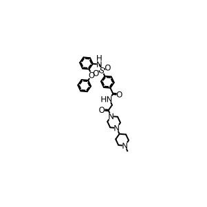 CN1CCC(N2CCN(C(=O)CNC(=O)c3ccc(S(=O)(=O)Nc4ccccc4Oc4ccccc4)cc3)CC2)CC1